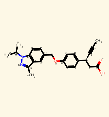 CC#C[C@@H](CC(=O)O)c1ccc(OCc2ccc3c(c2)c(C)nn3C(C)C)cc1